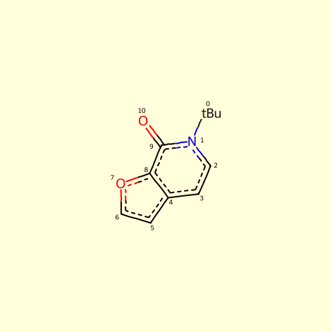 CC(C)(C)n1ccc2ccoc2c1=O